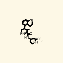 CC1C(C(=O)NC2CCNC(C(F)(F)F)C2)NCCC1c1cccc2c1CCCN2